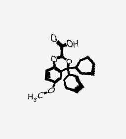 COc1ccc2c(c1)C(C1CCCCC1)(C1CCCCC1)OC(C(=O)O)O2